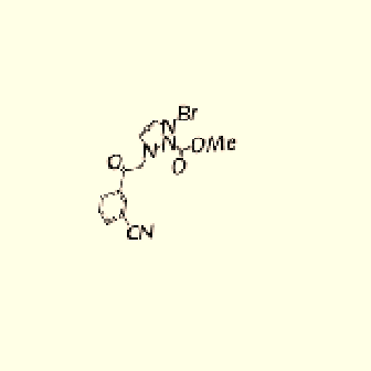 COC(=O)N1N(Br)C=CN1CC(=O)c1cccc(C#N)c1